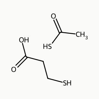 CC(=O)S.O=C(O)CCS